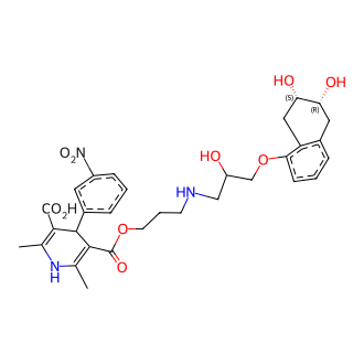 CC1=C(C(=O)O)C(c2cccc([N+](=O)[O-])c2)C(C(=O)OCCCNCC(O)COc2cccc3c2C[C@H](O)[C@H](O)C3)=C(C)N1